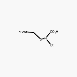 CCCCCCSN(CC)C(=O)O